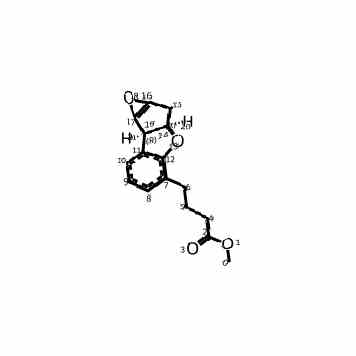 COC(=O)CCCc1cccc2c1O[C@@H]1CC3=C(O3)[C@H]21